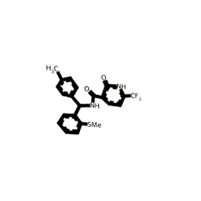 CSc1ccccc1C(NC(=O)c1ccc(C(F)(F)F)[nH]c1=O)c1ccc(C)cc1